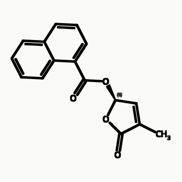 CC1=C[C@H](OC(=O)c2cccc3ccccc23)OC1=O